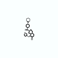 O=c1ccc2cnc(Nc3ccc(N4CCCCC4)cc3)nc2n1Cc1ccoc1